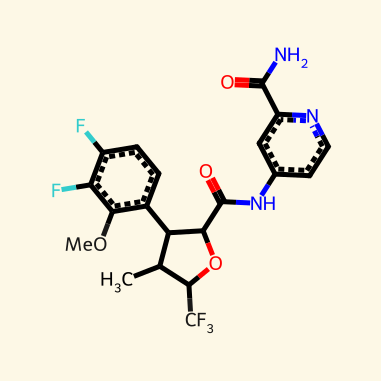 COc1c(C2C(C(=O)Nc3ccnc(C(N)=O)c3)OC(C(F)(F)F)C2C)ccc(F)c1F